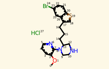 COc1cccnc1N1CCNCC1CCCc1csc2ccc(Br)cc12.Cl